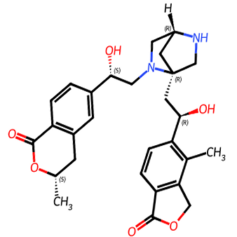 Cc1c([C@H](O)C[C@]23CN[C@@H](CN2C[C@@H](O)c2ccc4c(c2)C[C@H](C)OC4=O)C3)ccc2c1COC2=O